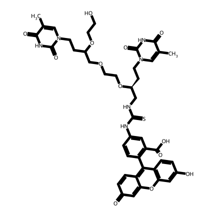 Cc1cn(CCC(COCCO[C@@H](CCn2cc(C)c(=O)[nH]c2=O)CNC(=S)Nc2ccc(-c3c4ccc(=O)cc-4oc4cc(O)ccc34)c(C(=O)O)c2)OCCO)c(=O)[nH]c1=O